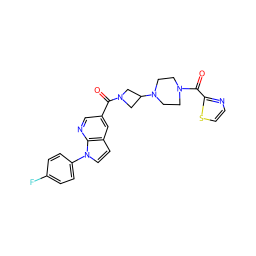 O=C(c1cnc2c(ccn2-c2ccc(F)cc2)c1)N1CC(N2CCN(C(=O)c3nccs3)CC2)C1